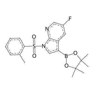 Cc1ccccc1S(=O)(=O)n1cc(B2OC(C)(C)C(C)(C)O2)c2cc(F)cnc21